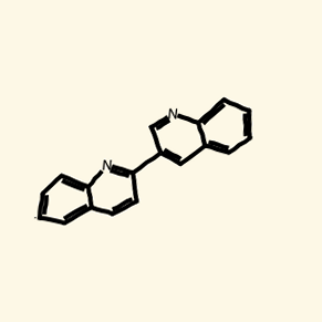 [c]1ccc2nc(-c3cnc4ccccc4c3)ccc2c1